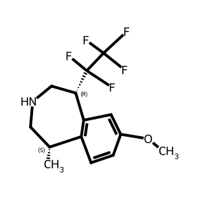 COc1ccc2c(c1)[C@@H](C(F)(F)C(F)(F)F)CNC[C@H]2C